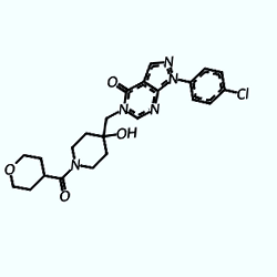 O=C(C1CCOCC1)N1CCC(O)(Cn2cnc3c(cnn3-c3ccc(Cl)cc3)c2=O)CC1